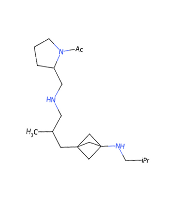 CC(=O)N1CCCC1CNCC(C)CC12CC(NCC(C)C)(C1)C2